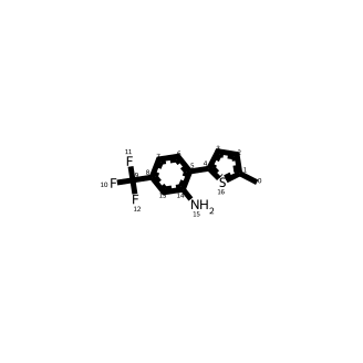 Cc1ccc(-c2ccc(C(F)(F)F)cc2N)s1